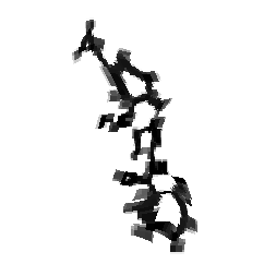 O=C(Nc1ccn(Cc2ccc(C3CC3)cc2C(F)(F)F)n1)c1ccccc1F